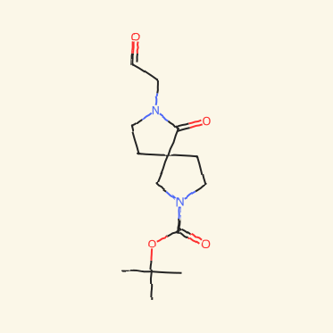 CC(C)(C)OC(=O)N1CCC2(CCN(CC=O)C2=O)C1